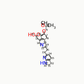 CO[C@@H](C)COc1cccc(C(CC(=O)O)CN2CC[C@@H](CCc3ccc4c(n3)NCCC4)C2)c1